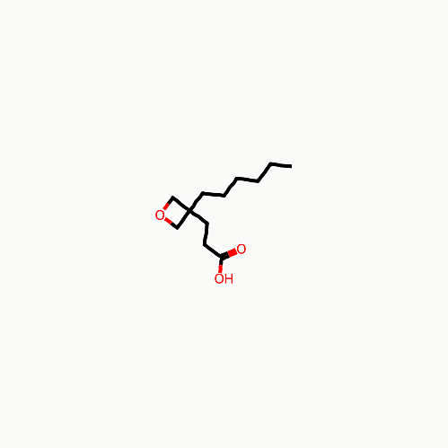 CCCCCCC1(CCC(=O)O)COC1